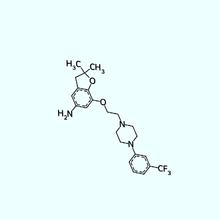 CC1(C)Cc2cc(N)cc(OCCN3CCN(c4cccc(C(F)(F)F)c4)CC3)c2O1